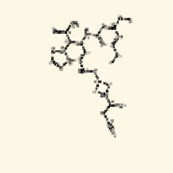 COc1cc(Nc2nc(NCC3CN(C(=O)CC#N)C3)n3ccnc3c2C(N)=O)cc(OC)c1